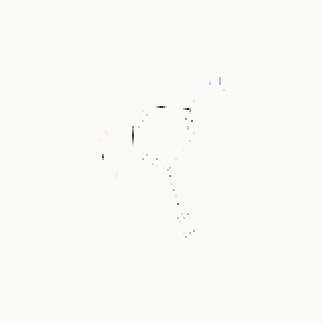 C#Cc1cccc(N)c1.CO